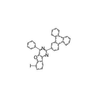 Ic1cccc2c1oc1c(-c3ccccc3)nc(-c3ccc4c5ccccc5c5ccccc5c4c3)nc12